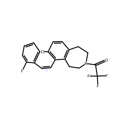 O=C(N1CCc2ccc(Cl)c(/C=C\c3ccccc3F)c2CC1)C(F)(F)F